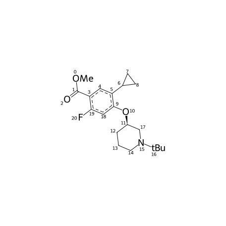 COC(=O)c1cc(C2CC2)c(O[C@@H]2CCCN(C(C)(C)C)C2)cc1F